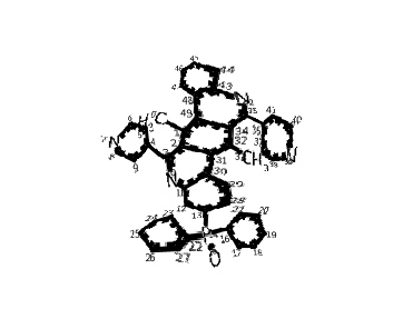 Cc1c2c(-c3ccncc3)nc3cc(P(=O)(c4ccccc4)c4ccccc4)ccc3c2c(C)c2c(-c3ccncc3)nc3ccccc3c12